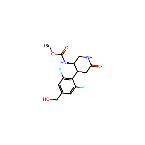 CC(C)(C)OC(=O)N[C@H]1CNC(=O)CC1c1c(F)cc(CO)cc1F